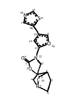 O=C1OC2(CN3CCC2CC3)CN1c1cc(-c2cncs2)co1